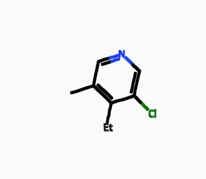 CCc1c(C)cncc1Cl